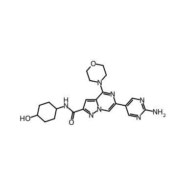 Nc1ncc(-c2cn3nc(C(=O)NC4CCC(O)CC4)cc3c(N3CCOCC3)n2)cn1